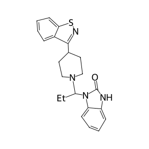 CCC(N1CCC(c2nsc3ccccc23)CC1)n1c(=O)[nH]c2ccccc21